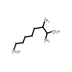 CC(CCCCCC(=O)O)C(C)C(=O)O